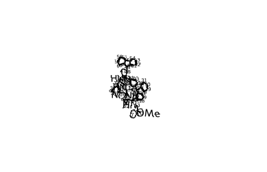 COC(=O)CNC(=O)C1(NC(=O)[C@@H](CSC(c2ccccc2)(c2ccccc2)c2ccccc2)NC(=O)[C@@H](Cc2ccncc2)NC(=O)OCC2c3ccccc3-c3ccccc32)CC1